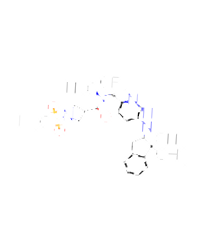 CN(C(=O)C1CN(S(C)(=O)=O)C1)[C@@H](c1ccc(NC2Cc3ccccc3C2(C)C)cn1)C(F)(F)F